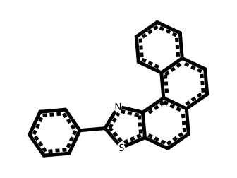 c1ccc(-c2nc3c(ccc4ccc5ccccc5c43)s2)cc1